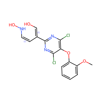 COc1ccccc1Oc1c(Cl)nc(C(/C=C\NO)=C/O)nc1Cl